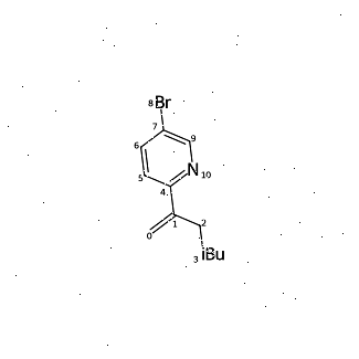 C=C(CC(C)CC)c1ccc(Br)cn1